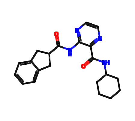 O=C(NC1CCCCC1)c1nccnc1NC(=O)C1Cc2ccccc2C1